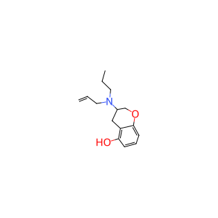 C=CCN(CCC)C1COc2cccc(O)c2C1